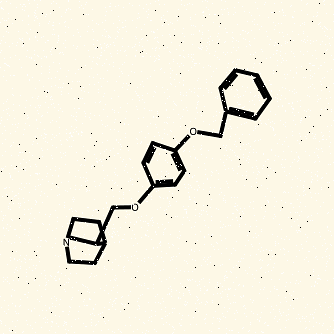 c1ccc(COc2ccc(OCC3CN4CCC3CC4)cc2)cc1